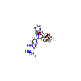 CNCc1cc2nc(-c3cc(C(C)(C)S(C)(=O)=O)cc(N4C5CCCC4COC5)n3)ccc2[nH]1